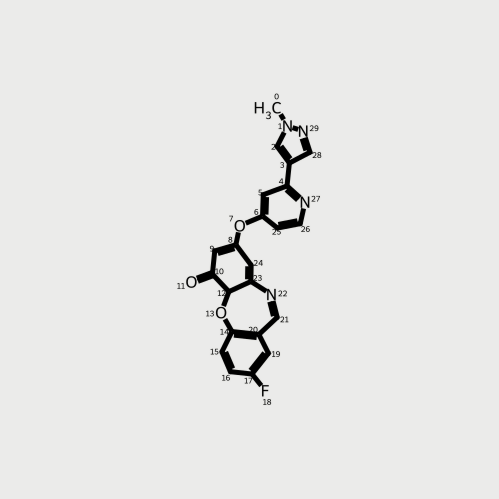 Cn1cc(-c2cc(OC3=CC(=O)C4Oc5ccc(F)cc5C=NC4=C3)ccn2)cn1